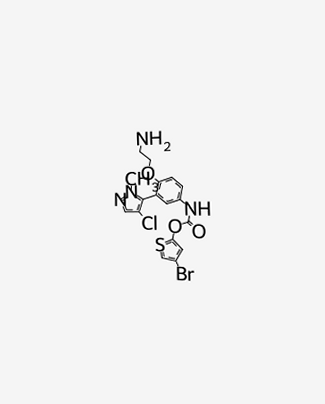 Cn1ncc(Cl)c1-c1cc(NC(=O)Oc2cc(Br)cs2)ccc1OCCN